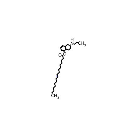 CCCCCCCC/C=C/CCCCCCCC(=O)Oc1cccc2c1CCC(NCCC)C2